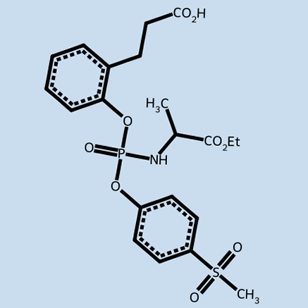 CCOC(=O)C(C)NP(=O)(Oc1ccc(S(C)(=O)=O)cc1)Oc1ccccc1CCC(=O)O